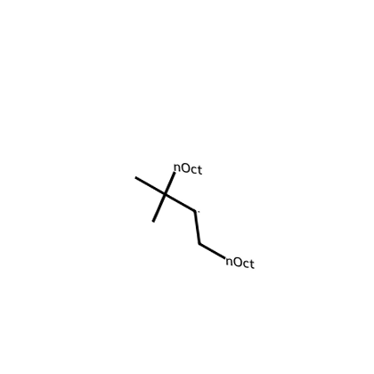 CCCCCCCCC[CH]C(C)(C)CCCCCCCC